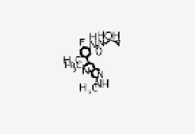 CNc1cc2nc(C)c(-c3cc(NC(=O)NCC(O)C4CC4)c(F)cc3C)cc2cn1